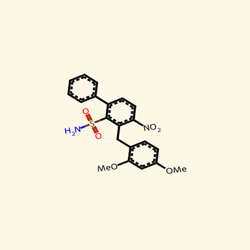 COc1ccc(Cc2c([N+](=O)[O-])ccc(-c3ccccc3)c2S(N)(=O)=O)c(OC)c1